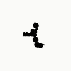 COC(=O)C(CCCc1ccccc1)CCc1ccc(-c2ccc[n+]([O-])c2)cc1